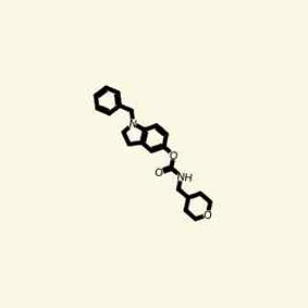 O=C(NCC1CCOCC1)Oc1ccc2c(c1)CCN2Cc1ccccc1